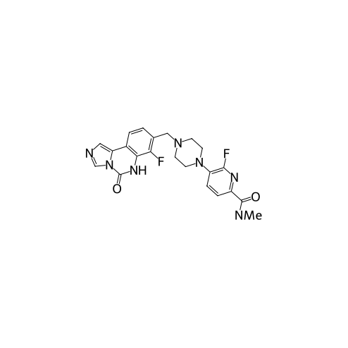 CNC(=O)c1ccc(N2CCN(Cc3ccc4c([nH]c(=O)n5cncc45)c3F)CC2)c(F)n1